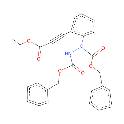 CCOC(=O)C#Cc1ccccc1N(NC(=O)OCc1ccccc1)C(=O)OCc1ccccc1